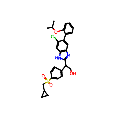 CC(C)Oc1ccccc1-c1cc2nc(C(CO)c3ccc(S(=O)(=O)CC4CC4)cc3)[nH]c2cc1Cl